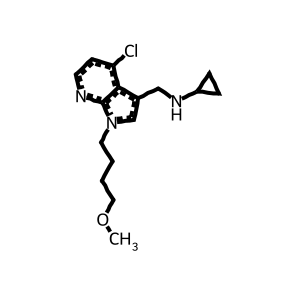 COCCCCn1cc(CNC2CC2)c2c(Cl)ccnc21